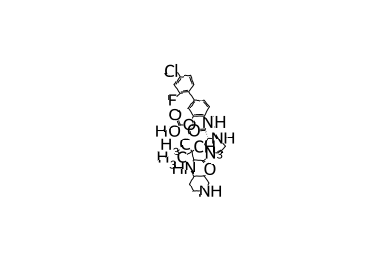 CC(C)(C)[C@H](NC1CCNCC1)C(=O)N1CCN[C@@H](C(=O)Nc2ccc(-c3ccc(Cl)cc3F)cc2OC(=O)O)C1